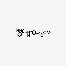 CONC(=O)/C=C/c1ccc(CNCCc2c(C)[nH]c3ccccc23)cc1